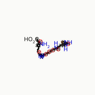 Nc1cc(C#CCOCc2cn(CCOCCOCCOCCNC(=O)CCCC[C@@H]3SCC4NC(=O)N[C@@H]43)nn2)ccc1C(=O)CCC(=O)O